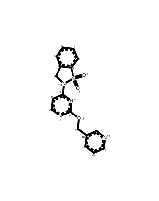 O=S1(=O)c2ccccc2CN1c1ccnc(OCc2cccnc2)n1